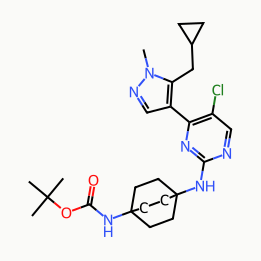 Cn1ncc(-c2nc(NC34CCC(NC(=O)OC(C)(C)C)(CC3)CC4)ncc2Cl)c1CC1CC1